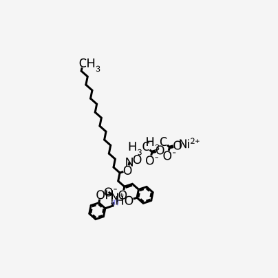 CC(=O)[O-].CC(=O)[O-].CCCCCCCCCCCCCCCCC(CC(=Cc1ccccc1O)O/[N+]([O-])=C/c1ccccc1O)ON=O.[Ni+2]